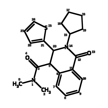 CN(C)C(=O)C1c2ccccc2C(=O)N(C2CCCC2)C1c1cccs1